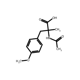 COc1ccc(CC(C)(NC(C)=O)C(=O)O)cc1